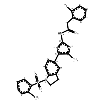 Cc1ccccc1S(=O)(=O)N1CCc2cc(-c3nc(NC(=O)Cc4ccccc4F)sc3C)ccc21